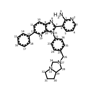 Nc1ncccc1-c1nc2ccc(-c3ccccc3)nc2n1-c1ccc(CN2CC3CCCN3C2)cc1